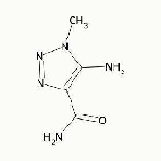 Cn1nnc(C(N)=O)c1N